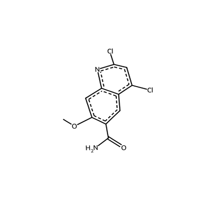 COc1cc2nc(Cl)cc(Cl)c2cc1C(N)=O